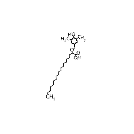 CCCCCCCCCCCCCCCCCCC(OCc1cc(C)c(O)c(C)c1)C(=O)O